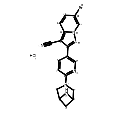 Cl.N#Cc1c(-c2ccc(N3CC4CC(C3)N4)nc2)nn2cc(Br)ccc12